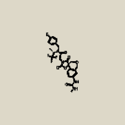 CNC(=O)Nc1ccc2c(c1)COC[C@@]21OC(=O)N(CC(=O)N(Cc2ccc(F)cc2)[C@@H](C)C(F)(F)F)C1=O